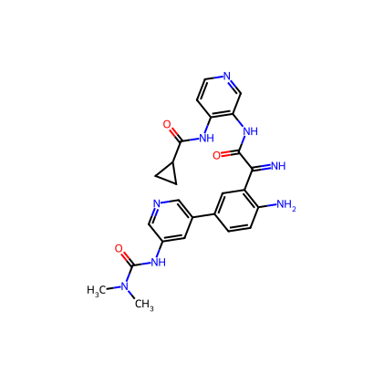 CN(C)C(=O)Nc1cncc(-c2ccc(N)c(C(=N)C(=O)Nc3cnccc3NC(=O)C3CC3)c2)c1